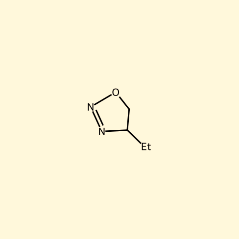 CCC1CON=N1